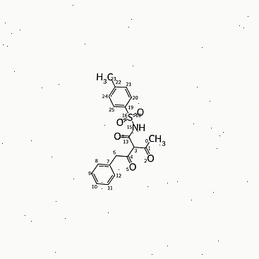 CC(=O)C(C(=O)Cc1ccccc1)C(=O)NS(=O)(=O)c1ccc(C)cc1